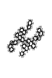 c1ccc(-c2ccc(-c3c4ccccc4c(-c4ccc5c(c4)oc4ccc6ccccc6c45)c4ccc(-c5ccc6c(-c7ccc8c(c7)oc7ccc9ccccc9c78)c7ccccc7c(-c7ccc(-c8ccc9ccccc9c8)c8ccccc78)c6c5)cc34)c3ccccc23)cc1